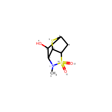 CN1C2C(O)C3CC(C2S3)S1(=O)=O